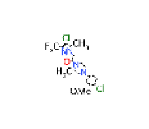 COc1cc(N2CCN(C(=O)Cn3nc(C(F)(F)F)c(Cl)c3C)[C@@H](C)C2)ccc1Cl